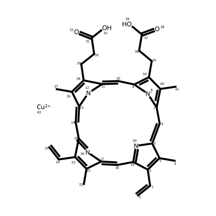 C=CC1=C(C)c2cc3[n-]c(cc4[n-]c(cc5nc(cc1n2)C(C)=C5C=C)c(C)c4CCC(=O)O)c(CCC(=O)O)c3C.[Cu+2]